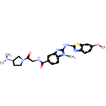 CN(C)[C@@H]1CCN(C(=O)CNC(=O)c2ccc3c(c2)nc(Nc2nc4ccc(OC(F)(F)F)cc4s2)n3C)C1